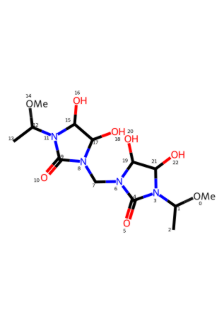 COC(C)N1C(=O)N(CN2C(=O)N(C(C)OC)C(O)C2O)C(O)C1O